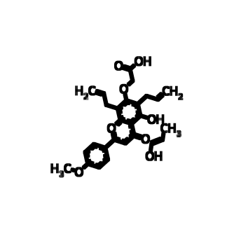 C=CCc1c(OCC(=O)O)c(CC=C)c2oc(-c3ccc(OC)cc3)cc(=O)c2c1O.CC=CO